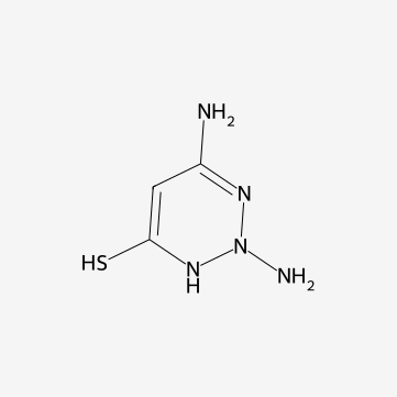 NC1=NN(N)NC(S)=C1